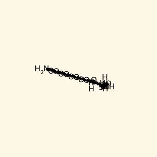 NCCOCCOCCOCCOCCOCCOCCOCCOCCNC(=O)CCCC[C@@H]1SC[C@@H]2NC(=O)N[C@@H]21